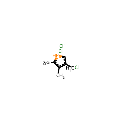 Cc1c[pH][c]([Zr+3])c1C.[Cl-].[Cl-].[Cl-]